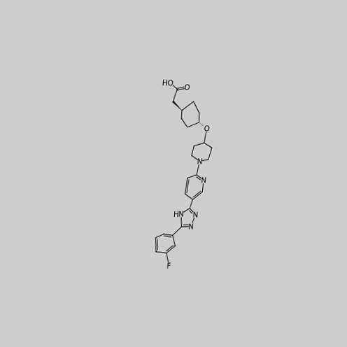 O=C(O)C[C@H]1CC[C@H](OC2CCN(c3ccc(-c4nnc(-c5cccc(F)c5)[nH]4)cn3)CC2)CC1